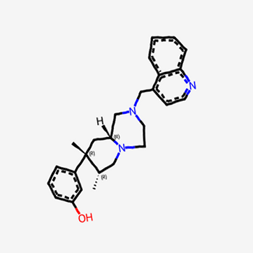 C[C@H]1CN2CCN(Cc3ccnc4ccccc34)C[C@H]2C[C@@]1(C)c1cccc(O)c1